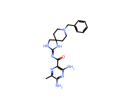 Cc1nc(C(=O)/N=C2/NCC3(CCN(Cc4ccccc4)CC3)N2)c(N)nc1N